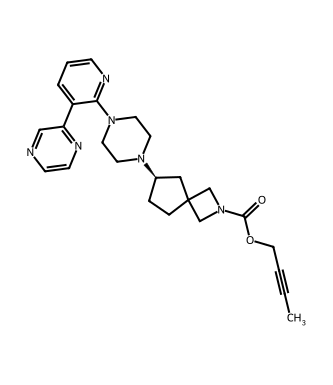 CC#CCOC(=O)N1CC2(CC[C@@H](N3CCN(c4ncccc4-c4cnccn4)CC3)C2)C1